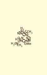 COc1cc(N(C)CCN(C)C)c([N+](=O)[O-])cc1Nc1nccc(N2CC(C)(C)c3nc(-n4cncc4C)ccc32)n1